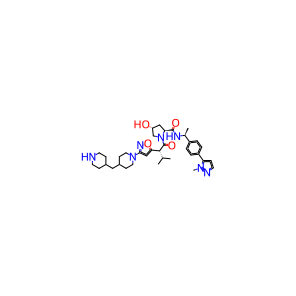 CC(C)[C@@H](C(=O)N1C[C@H](O)C[C@H]1C(=O)N[C@@H](C)c1ccc(-c2ccnn2C)cc1)c1cc(N2CCC(CC3CCNCC3)CC2)no1